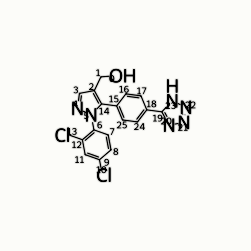 OCc1cnn(-c2ccc(Cl)cc2Cl)c1-c1ccc(-c2nnn[nH]2)cc1